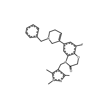 Cc1nn(C)c(C)c1CN1C(=O)COc2c(F)cc(C3=CCCN(Cc4ccccc4)C3)cc21